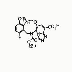 CC(C)(C)OC(=O)N1Cc2c(F)ccc3c2[C@H](CO3)COc2cc(C(=O)O)c3nncn3c21